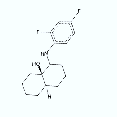 O[C@]12CCCC[C@@H]1CCCC2Nc1ccc(F)cc1F